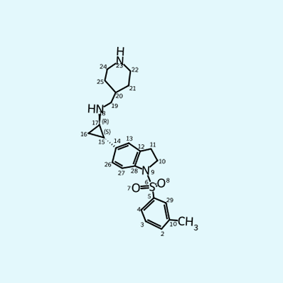 Cc1cccc(S(=O)(=O)N2CCc3cc([C@@H]4C[C@H]4NCC4CCNCC4)ccc32)c1